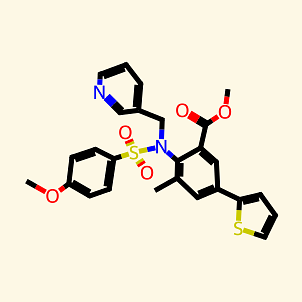 COC(=O)c1cc(-c2cccs2)cc(C)c1N(Cc1cccnc1)S(=O)(=O)c1ccc(OC)cc1